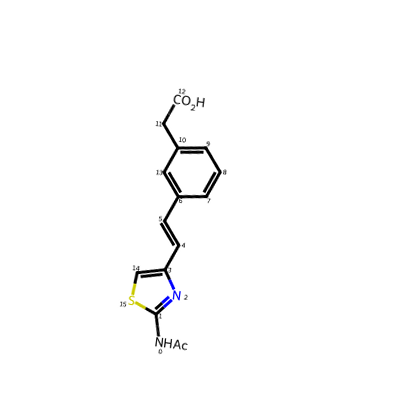 CC(=O)Nc1nc(/C=C/c2cccc(CC(=O)O)c2)cs1